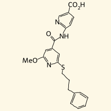 COc1cc(C(=O)Nc2ccc(C(=O)O)cn2)cc(SCCCc2ccccc2)n1